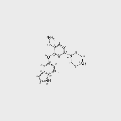 NSc1ccc(N2CCNCC2)cc1Oc1cnc2[nH]ccc2c1